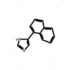 c1ccc2c(-c3cnc[nH]3)cccc2c1